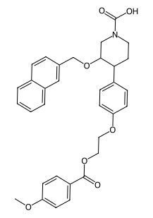 COc1ccc(C(=O)OCCOc2ccc(C3CCN(C(=O)O)CC3OCc3ccc4ccccc4c3)cc2)cc1